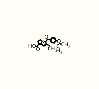 CSC1=CC2=C(C(=O)O)CCN2C1C(=O)c1ccc(OC(C)C)cc1